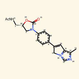 CC(=O)NC[C@H]1CN(c2ccc(C3=Cc4c(C)ncn4C3)cc2)C(=O)O1